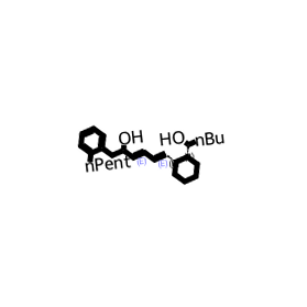 CCCCCc1ccccc1CC(O)/C=C/C=C/[C@H]1CCCC[C@H]1C(O)CCCC